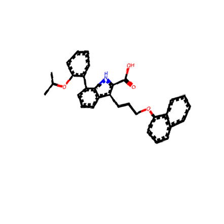 CC(C)Oc1ccccc1-c1cccc2c(CCCOc3cccc4ccccc34)c(C(=O)O)[nH]c12